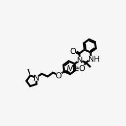 COC1(C)Nc2ccccc2C(=O)N1c1ccc(OCCCN2CCC[C@H]2C)cc1